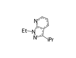 CCn1nc(C(C)C)c2cccnc21